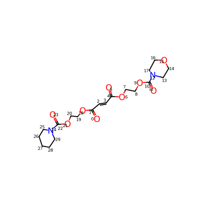 O=C(/C=C/C(=O)OCCOC(=O)N1CCOCC1)OCCOC(=O)N1CCCCC1